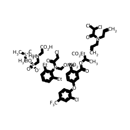 C=CCN(CC=C)C(=O)C(Cl)Cl.CCOC(=O)C(C)OC(=O)c1cc(Oc2ccc(C(F)(F)F)cc2Cl)ccc1[N+](=O)[O-].CCc1cccc(CC)c1N(COC)C(=O)CCl.C[S+](C)C.O=C(O)CNCP(=O)([O-])O